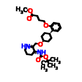 COC(=O)CCCOc1ccccc1[C@H]1CC[C@@H](OC[C@@H]2NCCC[C@@H]2NC(=O)OC(C)(C)C)CC1